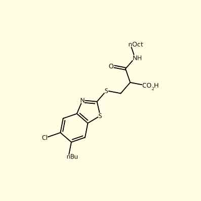 CCCCCCCCNC(=O)C(CSc1nc2cc(Cl)c(CCCC)cc2s1)C(=O)O